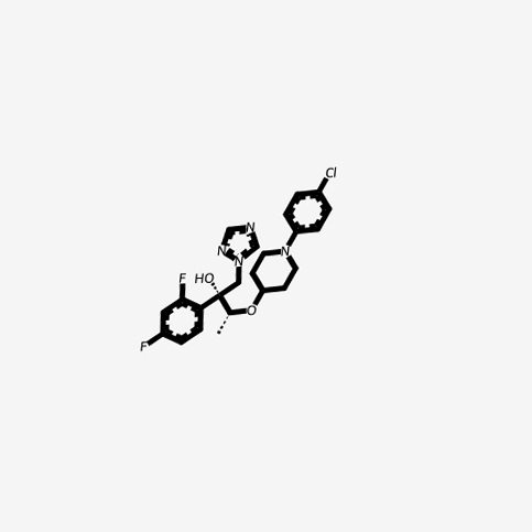 C[C@@H](OC1CCN(c2ccc(Cl)cc2)CC1)[C@](O)(Cn1cncn1)c1ccc(F)cc1F